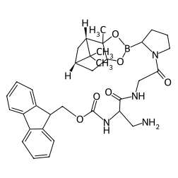 CC12OB(C3CCCN3C(=O)CNC(=O)C(CN)NC(=O)OCC3c4ccccc4-c4ccccc43)OC1C[C@@H]1C[C@H]2C1(C)C